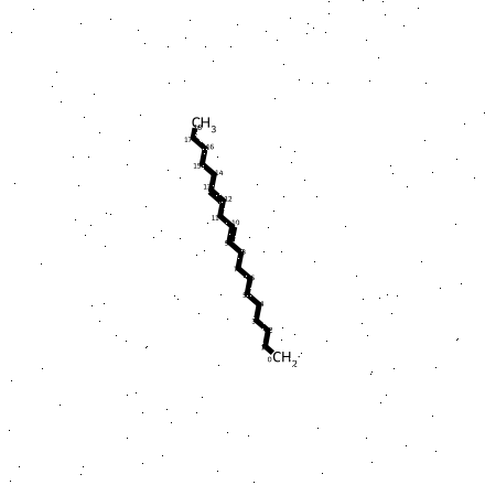 [CH2]CCCCCCCC/C=C/C/C=C/CCCCC